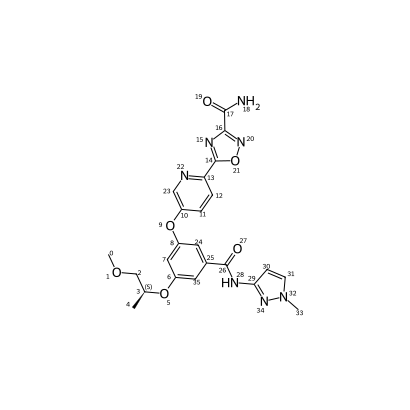 COC[C@H](C)Oc1cc(Oc2ccc(-c3nc(C(N)=O)no3)nc2)cc(C(=O)Nc2ccn(C)n2)c1